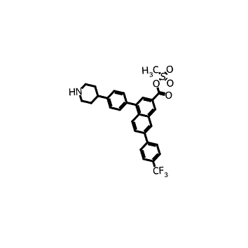 CS(=O)(=O)OC(=O)c1cc(-c2ccc(C3CCNCC3)cc2)c2ccc(-c3ccc(C(F)(F)F)cc3)cc2c1